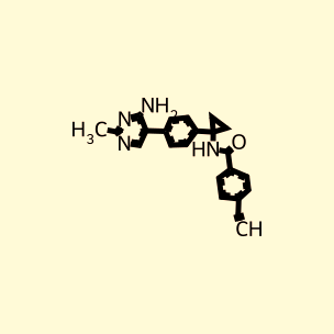 C#Cc1ccc(C(=O)NC2(c3ccc(-c4cnc(C)nc4N)cc3)CC2)cc1